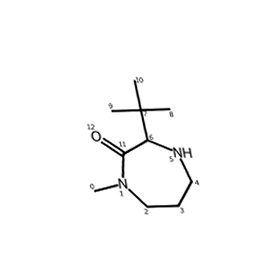 CN1CCCNC(C(C)(C)C)C1=O